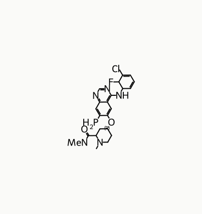 CNC(=O)C1C[C@H](Oc2cc3c(NC4C=CC=C(Cl)C4F)ncnc3cc2P)CCN1C